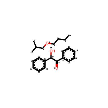 CCCCOCC(C)C.O=C(c1ccccc1)C(O)c1ccccc1